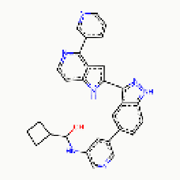 OC(Nc1cncc(-c2ccc3[nH]nc(-c4cc5c(-c6cccnc6)nccc5[nH]4)c3c2)c1)C1CCC1